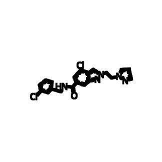 O=C(NCc1cccc(Cl)c1)c1cc(Cl)c2cn(CCn3cccn3)nc2c1